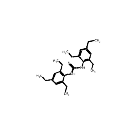 CCc1cc(CC)c(NC(=S)Nc2c(CC)cc(CC)cc2CC)c(CC)c1